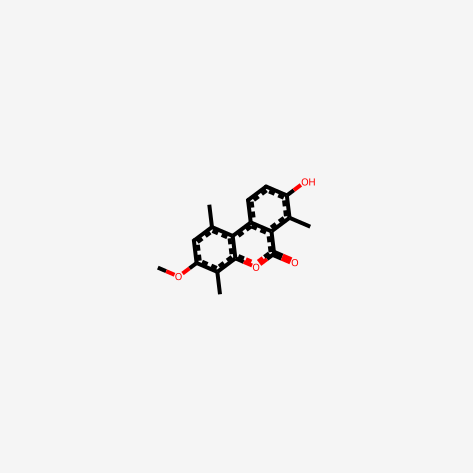 COc1cc(C)c2c(oc(=O)c3c(C)c(O)ccc32)c1C